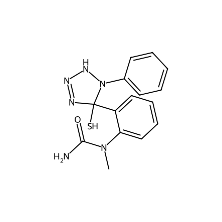 CN(C(N)=O)c1ccccc1C1(S)N=NNN1c1ccccc1